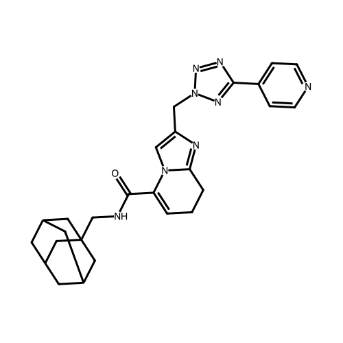 O=C(NCC12CC3CC(CC(C3)C1)C2)C1=CCCc2nc(Cn3nnc(-c4ccncc4)n3)cn21